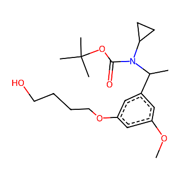 COc1cc(OCCCCO)cc(C(C)N(C(=O)OC(C)(C)C)C2CC2)c1